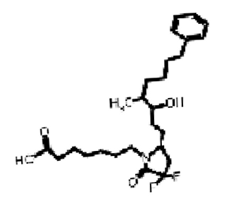 CC(CCCCc1ccccc1)C(O)CC[C@H]1CC(F)(F)C(=O)N1CCCCCCC(=O)O